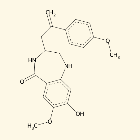 C=C(CC1CNc2cc(O)c(OC)cc2C(=O)N1)c1ccc(OC)cc1